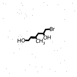 C/C(=C\CO)CC(O)CBr